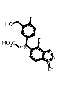 CCn1nnc2c(F)c([C@H](CC(=O)O)c3ccc(C)c(CO)c3)ccc21